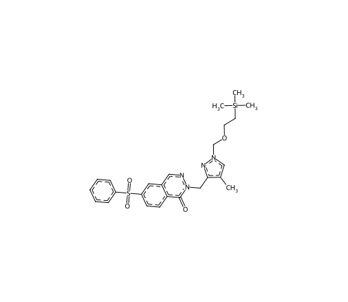 Cc1cn(COCC[Si](C)(C)C)nc1Cn1ncc2cc(S(=O)(=O)c3ccccc3)ccc2c1=O